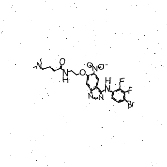 CN(C)CCCC(=O)NCCOc1cc2ncnc(Nc3ccc(Br)c(F)c3F)c2cc1[N+](=O)[O-]